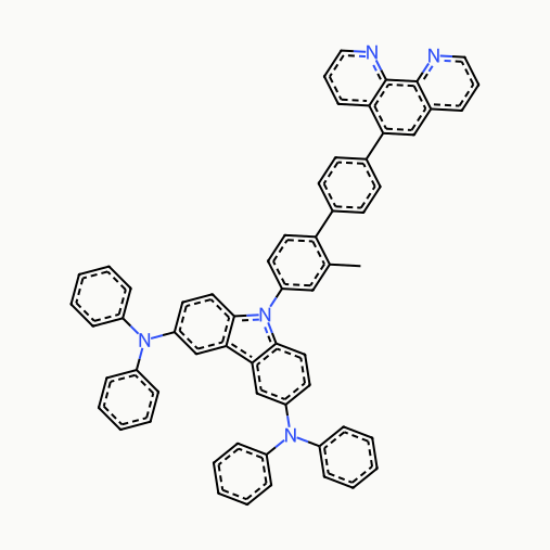 Cc1cc(-n2c3ccc(N(c4ccccc4)c4ccccc4)cc3c3cc(N(c4ccccc4)c4ccccc4)ccc32)ccc1-c1ccc(-c2cc3cccnc3c3ncccc23)cc1